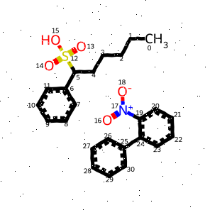 CCCCCC(c1ccccc1)S(=O)(=O)O.O=[N+]([O-])c1ccccc1-c1ccccc1